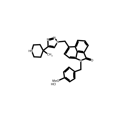 COc1ccc(CN2C(=O)c3cccc4c(Cn5cc(C6(C)CCNCC6)nn5)ccc2c34)cc1.Cl